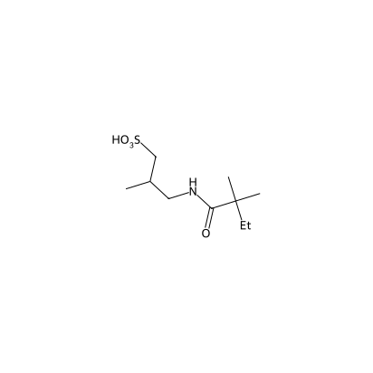 CCC(C)(C)C(=O)NCC(C)CS(=O)(=O)O